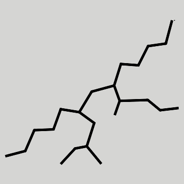 [CH2]CCCCC(CC(CCCCC)CC(C)CC)C(C)CCC